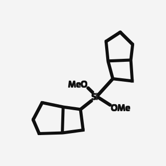 CO[Si](OC)(C1CC2CCCC21)C1CC2CCCC21